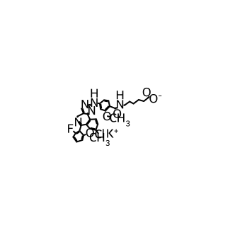 COc1cc(Nc2ncc3c(n2)-c2ccc(Cl)cc2C(c2c(F)cccc2OC)=NC3)ccc1C(=O)NCCCCCC(=O)[O-].[K+]